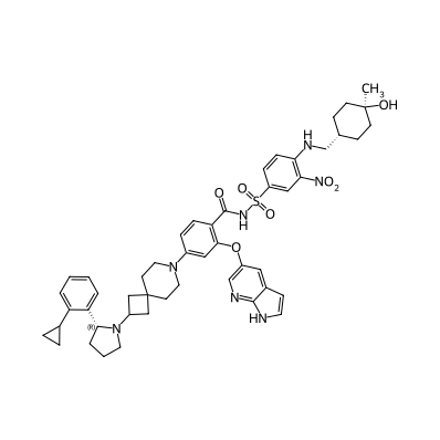 C[C@]1(O)CC[C@H](CNc2ccc(S(=O)(=O)NC(=O)c3ccc(N4CCC5(CC4)CC(N4CCC[C@@H]4c4ccccc4C4CC4)C5)cc3Oc3cnc4[nH]ccc4c3)cc2[N+](=O)[O-])CC1